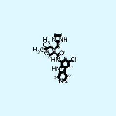 CC1(C)CN(Cc2ncc[nH]2)[C@H](C(=O)Nc2cc(Cl)cc3c2[nH]c2cnccc23)CO1